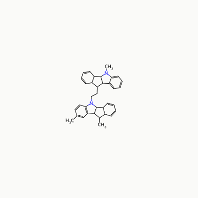 Cc1ccc2c(c1)C1C(C)C3C=CC=CC3C1N2CCC1C2C=CC=CC2C2C1c1ccccc1N2C